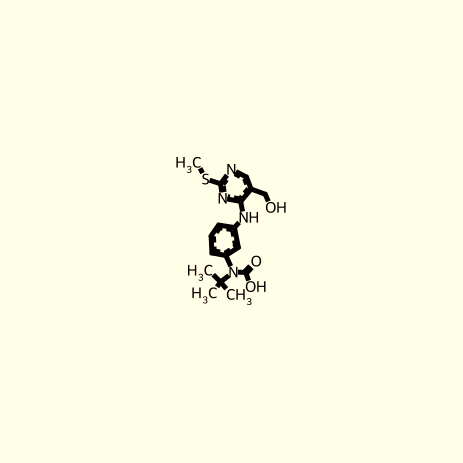 CSc1ncc(CO)c(Nc2cccc(N(C(=O)O)C(C)(C)C)c2)n1